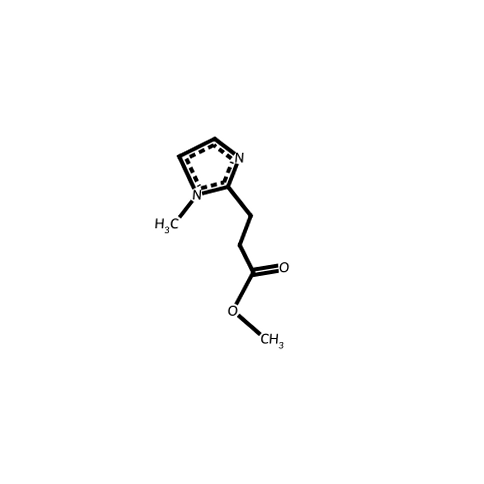 COC(=O)CCc1nccn1C